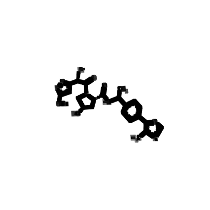 Cc1ncoc1-c1ccc(C(C)NC(=O)[C@@H]2C[C@@H](O)CN2C(=O)[C@@H](c2cc(OCC(C)C)no2)C(C)C)cc1